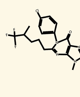 CC(CCCc1nc2c(ncn2C)c(=O)n1-c1ccc(Cl)cc1)C(F)(F)F